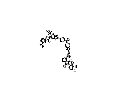 CC(C)(O)c1cc2nc([C@H]3CC[C@H](C(=O)N4CCC5(CC4)CC(CCNc4cccc6c4C(=O)N(C4CCC(=O)NC4=O)C6=O)C5)CC3)sc2cc1NC(=O)c1cccc(C(F)F)n1